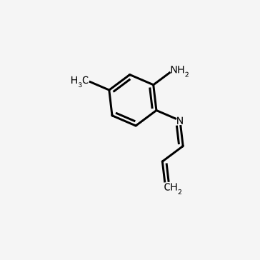 C=C/C=N\c1ccc(C)cc1N